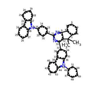 CC1(C)c2ccccc2-c2nc(-c3ccc(-n4c5ccccc5c5ccccc54)cc3)nc(-c3ccc4c(c3)c3ccccc3n4-c3ccccc3)c21